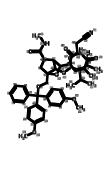 CNC(=O)N1CC2(COC(c3ccccc3)(c3ccc(OC)cc3)c3ccc(OC)cc3)OC(n3cc(C)c(=O)[nH]c3=O)C1C2OP(OCCC#N)N(C(C)C)C(C)C